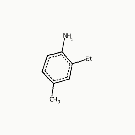 CCc1cc(C)ccc1N